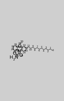 CCCCCCCCCCCCc1ccc(N(C(=O)C(N)=O)c2ccccc2OCC)cc1